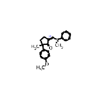 COc1ccc(C2(C)CC/C(=C/N(C)c3ccccc3)C2=O)cc1